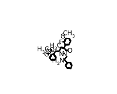 COc1cccc(-c2c(C)c(Cc3ccccc3S(C)(=O)=O)nn(CC(N)c3ccccc3)c2=O)c1F